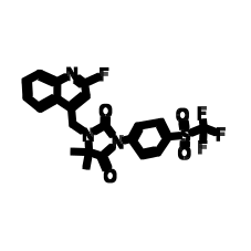 CC1(C)C(=O)N(c2ccc(S(=O)(=O)C(F)(F)F)cc2)C(=O)N1Cc1cc(F)nc2ccccc12